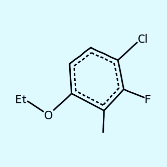 CCOc1ccc(Cl)c(F)c1C